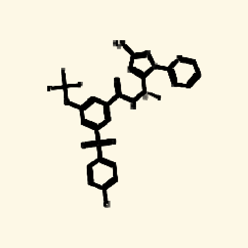 C[C@H](NC(=O)c1cc(OC(F)(F)F)cc(S(=O)(=O)c2ccc(Cl)cc2)c1)c1nc(N)nn1-c1ncccn1